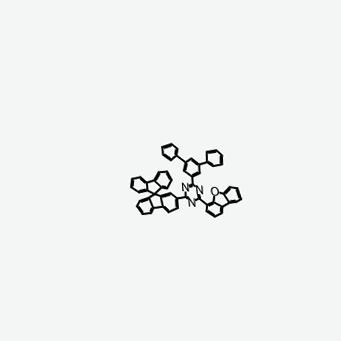 c1ccc(-c2cc(-c3ccccc3)cc(-c3nc(-c4ccc5c(c4)C4(c6ccccc6-c6ccccc64)c4ccccc4-5)nc(-c4cccc5c4oc4ccccc45)n3)c2)cc1